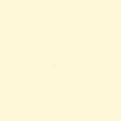 CN(C)C(=O)c1[c]ccc(Br)c1